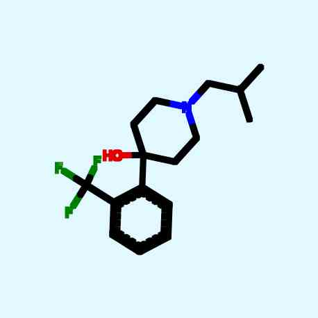 C[C](C)CN1CCC(O)(c2ccccc2C(F)(F)F)CC1